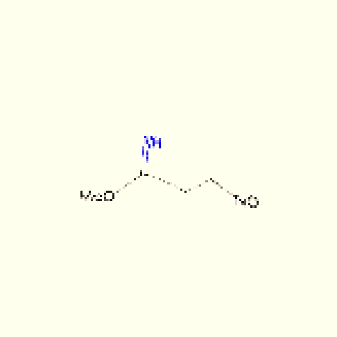 COC(=N)CCN=O